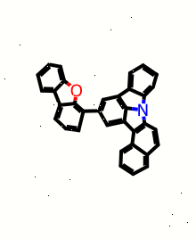 c1ccc2c(c1)ccc1c2c2cc(-c3cccc4c3oc3ccccc34)cc3c4ccccc4n1c32